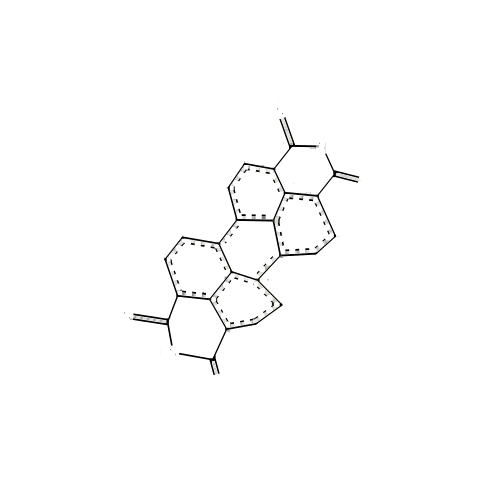 N=C1NC(=O)c2ccc3c4ccc5c6c(ccc(c7ccc1c2c73)c64)C(=N)NC5=O